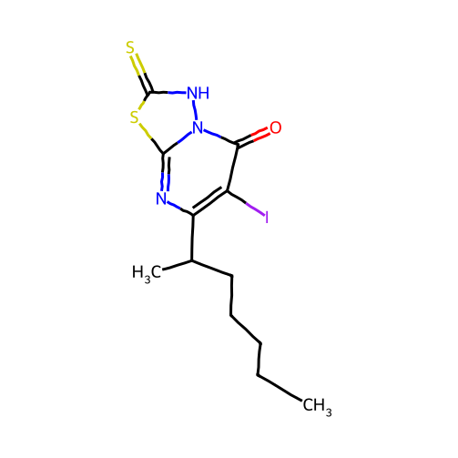 CCCCCC(C)c1nc2sc(=S)[nH]n2c(=O)c1I